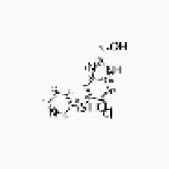 Cl.Cl.OCc1nc2cc(Sc3cccnc3)ccc2[nH]1